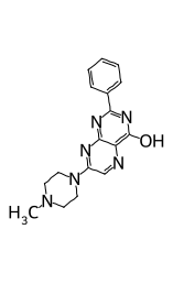 CN1CCN(c2cnc3c(O)nc(-c4ccccc4)nc3n2)CC1